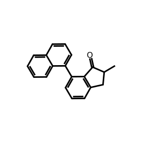 CC1Cc2cccc(-c3cccc4ccccc34)c2C1=O